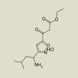 CCOC(=O)CC(=O)c1cc(C(N)CC(C)C)no1.Cl